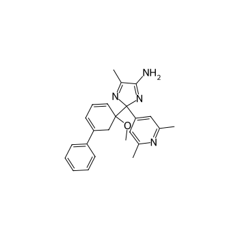 COC1(C2(c3cc(C)nc(C)c3)N=C(C)C(N)=N2)C=CC=C(c2ccccc2)C1